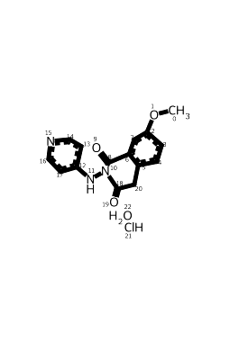 COc1ccc2c(c1)C(=O)N(Nc1ccncc1)C(=O)C2.Cl.O